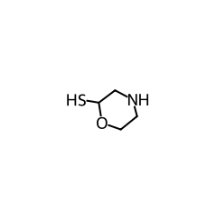 SC1CNCCO1